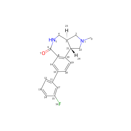 CN1C[C@@H]2CNC(=O)c3cc(-c4cccc(F)c4)ccc3[C@H]2C1